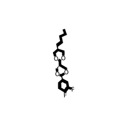 CCC/C=C/[C@H]1CO[C@H]([C@H]2CO[C@H](c3ccc(F)c(F)c3)OC2)OC1